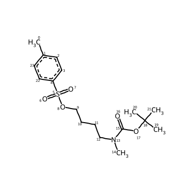 Cc1ccc(S(=O)(=O)OCCCCN(C)C(=O)OC(C)(C)C)cc1